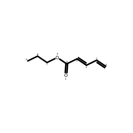 C=C/C=C/C(=O)OCCC